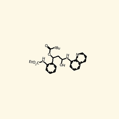 CCOC(=O)Nc1ccccc1C(CC(O)Nc1cccc2cccnc12)OC(=O)C(C)(C)C